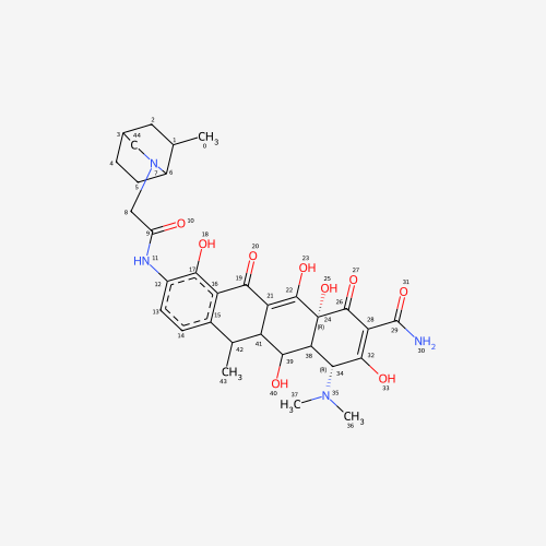 CC1CC2CCC1N(CC(=O)Nc1ccc3c(c1O)C(=O)C1=C(O)[C@@]4(O)C(=O)C(C(N)=O)=C(O)[C@H](N(C)C)C4C(O)C1C3C)C2